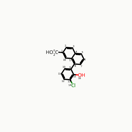 O=C(O)c1ccc2cccc(-c3cccc(Cl)c3O)c2c1